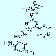 Cc1ccc(N)c(NN=Cc2cc(N3CCOCC3)nc(OCC(C)(C)O)n2)c1